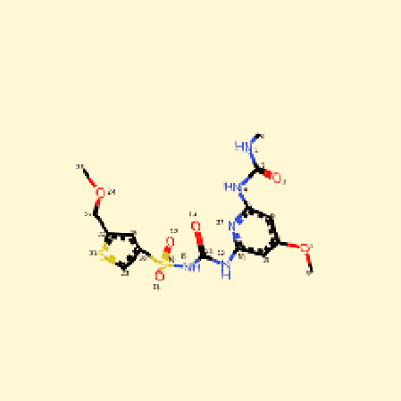 CNC(=O)Nc1cc(OC)cc(NC(=O)NS(=O)(=O)c2csc(COC)c2)n1